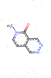 Cn1ccc2cnncc2c1=O